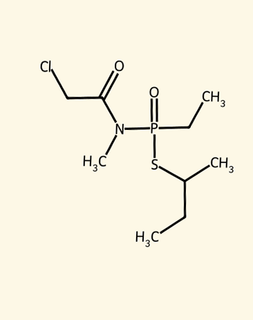 CCC(C)SP(=O)(CC)N(C)C(=O)CCl